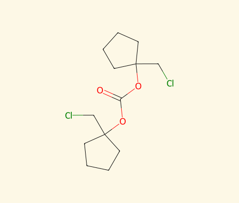 O=C(OC1(CCl)CCCC1)OC1(CCl)CCCC1